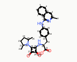 Cc1cc2ccccc2c(Nc2ccc(C[C@H](Nc3c(N4C(C)CCC4C)c(=O)c3=O)C(=O)O)cc2)n1